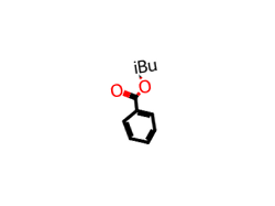 C[CH][C@@H](C)OC(=O)c1ccccc1